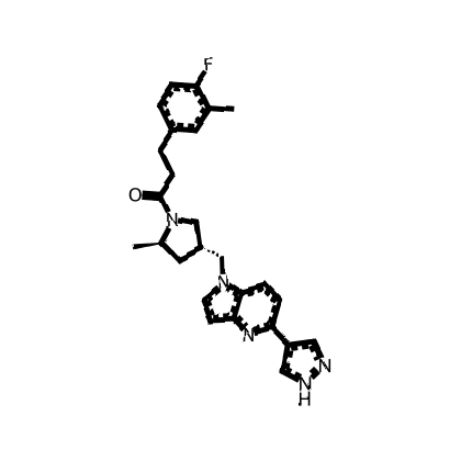 Cc1cc(CCC(=O)N2C[C@H](Cn3ccc4nc(-c5cn[nH]c5)ccc43)C[C@H]2C)ccc1F